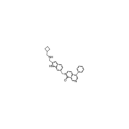 O=c1c2cncc(-c3ccccc3)c2ccn1Cc1ccc2cc(CNCC3CCC3)[nH]c2c1